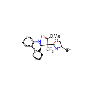 COC(=O)C(C1=NC(C(C)C)CO1)(c1nc2ccccc2c2ccccc12)C(F)(F)F